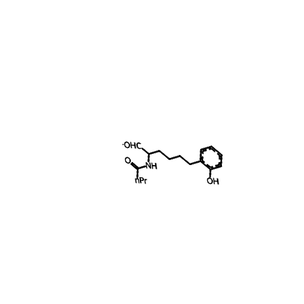 CCCC(=O)NC([C]=O)CCCCc1ccccc1O